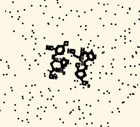 N#Cc1cc(Cl)ccc1S[C@H](C[C@H](N)CO)c1cncs1.N[C@H](CO)C[C@@H](Sc1cc(C(F)(F)F)ccc1Cl)c1cncs1